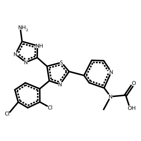 CN(C(=O)O)c1cc(-c2nc(-c3ccc(Cl)cc3Cl)c(-c3nnc(N)[nH]3)s2)ccn1